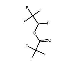 O=C(OC(F)C(F)(F)F)C(F)(F)F